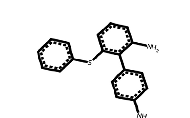 Nc1ccc(-c2c(N)cccc2Sc2ccccc2)cc1